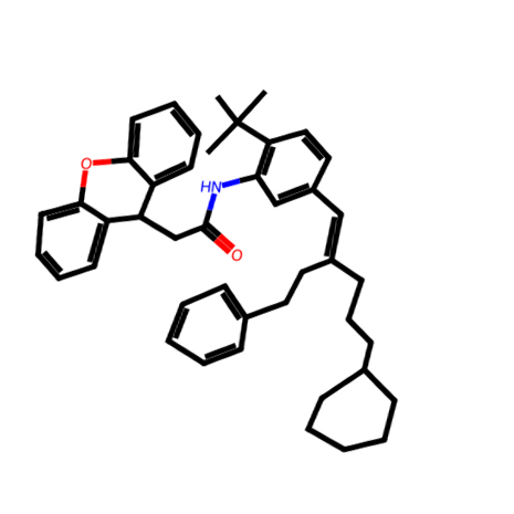 CC(C)(C)c1ccc(C=C(CCCC2CCCCC2)CCc2ccccc2)cc1NC(=O)CC1c2ccccc2Oc2ccccc21